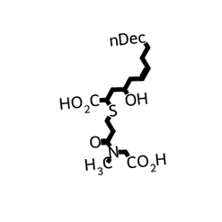 CCCCCCCCCCCC/C=C\CC(O)CC(SCCC(=O)N(C)CC(=O)O)C(=O)O